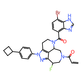 C=CC(=O)N1CC(F)c2nn(-c3ccc(C4CCC4)cc3)c3c2C(C1)N(C(=O)c1ccc(Br)c2[nH]cnc12)CC3